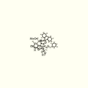 CCOP(=O)(C[C@@H](OCc1ccccc1)[C@H]1O[C@@H](n2cc(C)c(=O)[nH]c2=O)[C@H](OCCOC)[C@@H]1O[Si](c1ccccc1)(c1ccccc1)C(C)(C)C)OCC